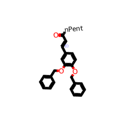 CCCCCC(=O)/C=C/c1ccc(OCc2ccccc2)c(OCc2ccccc2)c1